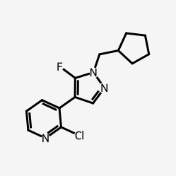 Fc1c(-c2cccnc2Cl)cnn1CC1CCCC1